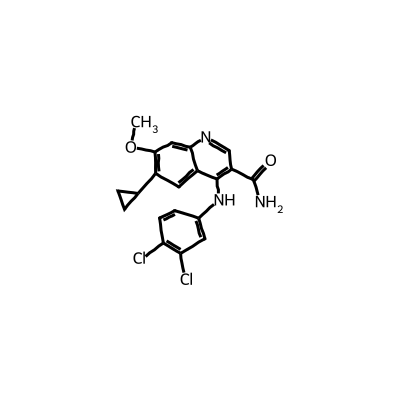 COc1cc2ncc(C(N)=O)c(Nc3ccc(Cl)c(Cl)c3)c2cc1C1CC1